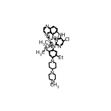 CCc1cc(Nc2ncc(Cl)c(Nc3ccc4nccnc4c3NS(C)(=O)=O)n2)c(N(C)C)cc1N1CCC(N2CCN(C)CC2)CC1